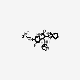 CS(=O)(=O)CCNc1cc2[nH]c(=O)c(-c3nc4ccccc4[nH]3)c(N[C@H]3CN4CCC3CC4)c2cc1F